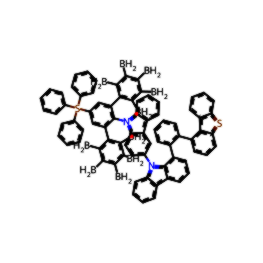 Bc1c(B)c(B)c(-c2cc(S(c3ccccc3)(c3ccccc3)c3ccccc3)cc(-c3c(B)c(B)c(B)c(B)c3B)c2-n2c3ccccc3c3cc(-n4c5ccccc5c5cccc(-c6ccccc6-c6cccc7sc8ccccc8c67)c54)ccc32)c(B)c1B